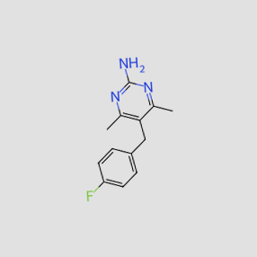 Cc1nc(N)nc(C)c1Cc1ccc(F)cc1